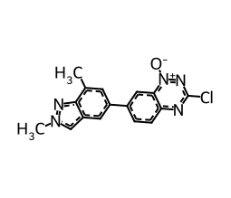 Cc1cc(-c2ccc3nc(Cl)n[n+]([O-])c3c2)cc2cn(C)nc12